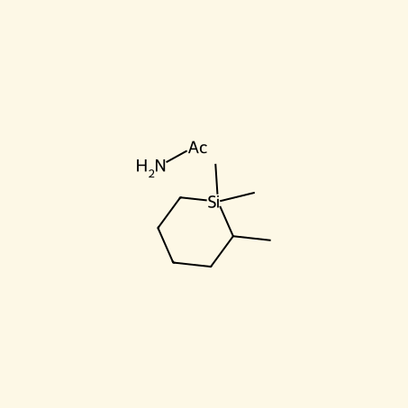 CC(N)=O.CC1CCCC[Si]1(C)C